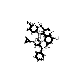 N#Cc1cnc2c(Cl)cc(N[C@@H](c3cccnc3)c3cn(C4CC4)nn3)cc2c1Nc1cnc(F)c(F)c1